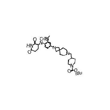 CN(C)c1cc(N2CC3(CCN(CC4CCN(C(=O)OC(C)(C)C)CC4)CC3)C2)ccc1N(C=O)C1CCC(=O)NC1=O